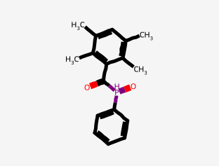 Cc1cc(C)c(C)c(C(=O)[PH](=O)c2ccccc2)c1C